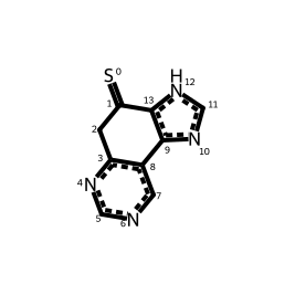 S=C1Cc2ncncc2-c2nc[nH]c21